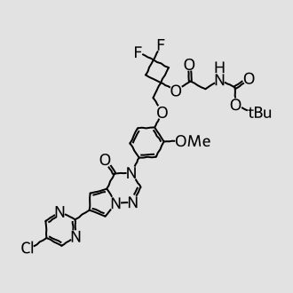 COc1cc(-n2cnn3cc(-c4ncc(Cl)cn4)cc3c2=O)ccc1OCC1(OC(=O)CNC(=O)OC(C)(C)C)CC(F)(F)C1